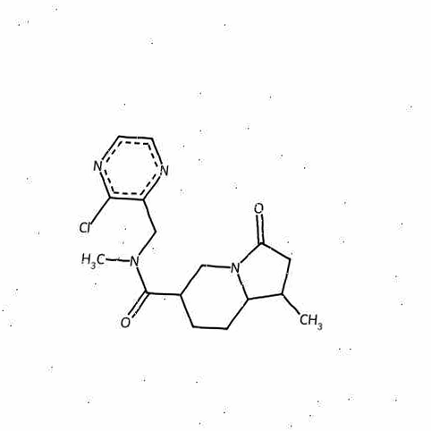 CC1CC(=O)N2CC(C(=O)N(C)Cc3nccnc3Cl)CCC12